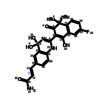 CCCCC1(CCCC)C(=O)C(C2=NS(O)(O)c3cc(/C=C/C(N)=O)ccc3N2)=C(O)c2cc(F)ccc21